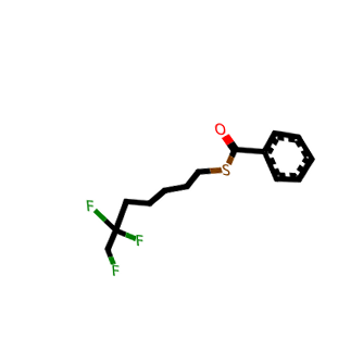 O=C(SCCCCCC(F)(F)CF)c1ccccc1